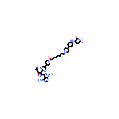 CC(C)(C)n1nc(-c2noc(C3CC3)c2-c2ncc(C3CCN(C(=O)CCCCCCCN4CCC(c5ccc(N[C@@H]6CCC(=O)NC6=O)cc5)CC4)CC3)cn2)c2c(N)ncnc21